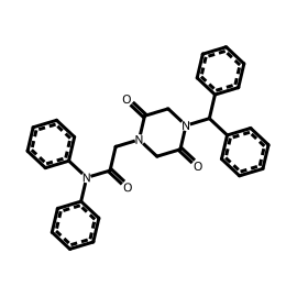 O=C1CN(C(c2ccccc2)c2ccccc2)C(=O)CN1CC(=O)N(c1ccccc1)c1ccccc1